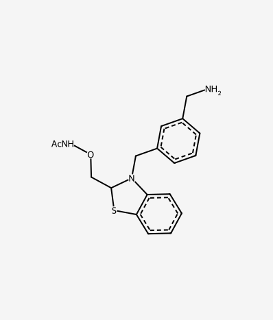 CC(=O)NOCC1Sc2ccccc2N1Cc1cccc(CN)c1